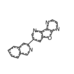 c1ccc2cc(-c3cnc4c(c3)oc3nccnc34)ncc2c1